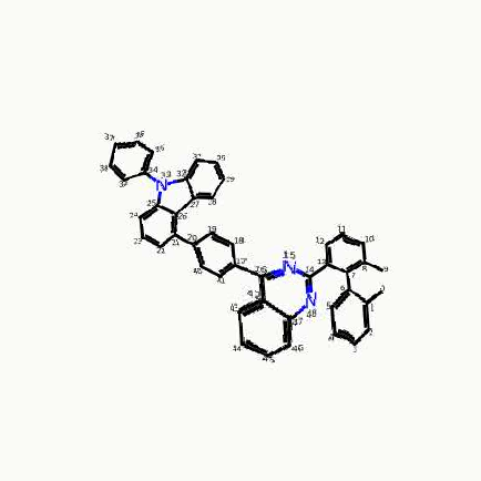 Cc1ccccc1-c1c(C)cccc1-c1nc(-c2ccc(-c3cccc4c3c3ccccc3n4-c3ccccc3)cc2)c2ccccc2n1